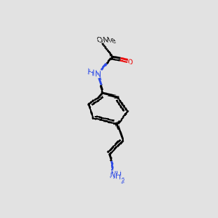 COC(=O)Nc1ccc(/C=C/N)cc1